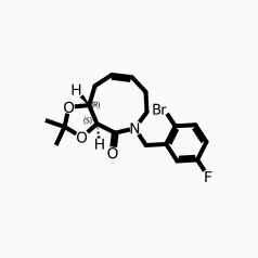 CC1(C)O[C@@H]2C(=O)N(Cc3cc(F)ccc3Br)CCC=CC[C@H]2O1